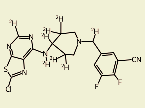 [2H]c1nc(N([2H])C2([2H])C([2H])([2H])CN(C([2H])c3cc(F)c(F)c(C#N)c3)CC2([2H])[2H])c2nc(Cl)sc2n1